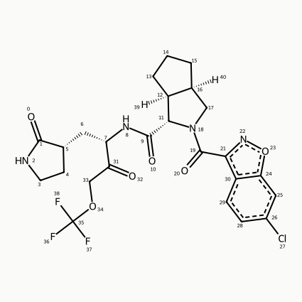 O=C1NCC[C@H]1C[C@H](NC(=O)[C@@H]1[C@H]2CCC[C@H]2CN1C(=O)c1noc2cc(Cl)ccc12)C(=O)COC(F)(F)F